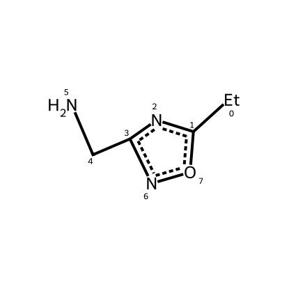 CCc1nc(CN)no1